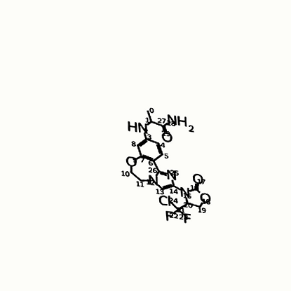 CC(Nc1ccc2c(c1)OCCn1cc(N3C(=O)OC[C@H]3C(F)(F)Cl)nc1-2)C(N)=O